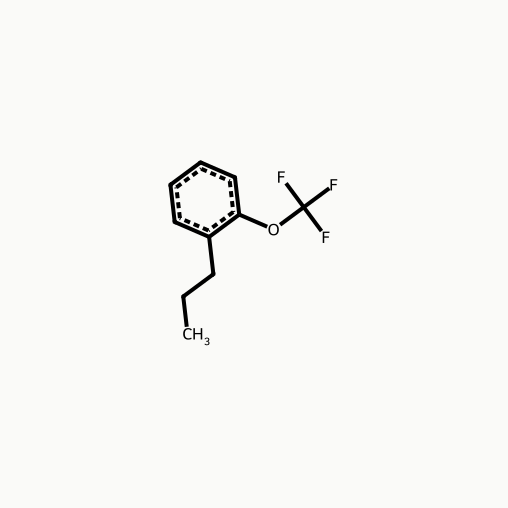 CCCc1ccccc1OC(F)(F)F